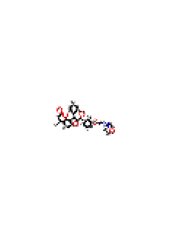 Cc1cc(=O)oc2c1ccc1oc(C(=O)c3cccc(OCCN4CCOCC4)c3)c(-c3ccccc3)c12